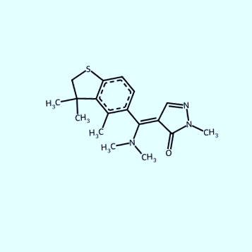 Cc1c(C(=C2C=NN(C)C2=O)N(C)C)ccc2c1C(C)(C)CS2